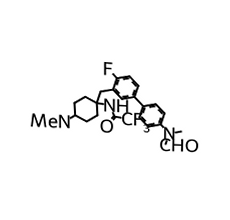 CNC1CCC(Cc2cc(-c3ccc(N(C)C=O)cc3)ccc2F)(NC(=O)C(F)(F)F)CC1